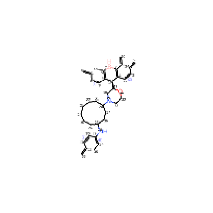 C=C/C=C\C1=C(C)BC(C=C)=C(/C=C\C=C)C1C1CN(C2CCCCCCC(NC(/C=C\C=C)=C/C)CC2)CCO1